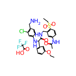 CCOc1cccc(C(Nc2ccc(CN)c(Cl)c2)C(=O)NCc2cc(NC(C)=O)ccc2S(=O)(=O)CC)c1.O=C(O)C(F)(F)F